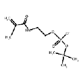 C=C(C)C(=O)NCCOP(=O)([O-])O[N+](C)(C)C